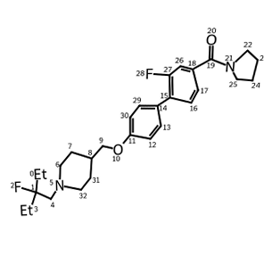 CCC(F)(CC)CN1CCC(COc2ccc(-c3ccc(C(=O)N4CCCC4)cc3F)cc2)CC1